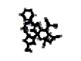 Nc1nc(C2(NC(=O)/C=N\O)S[C@H]3CC(=O)N3C(C(=O)O)=C2SCc2cccnc2)c(Cl)s1